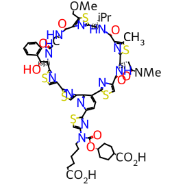 CNC(=O)C[C@@H]1NC(=O)c2csc(n2)-c2ccc(-c3nc(N(CCCCCC(=O)O)C(=O)O[C@H]4CC[C@H](C(=O)O)CC4)cs3)nc2-c2csc(n2)-c2csc(n2)[C@H]([C@@H](O)c2ccccc2)NC(=O)CNC(=O)c2nc(sc2COC)[C@H](C(C)C)NC(=O)c2nc1sc2C